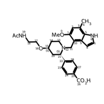 COc1cc(C)c2[nH]ccc2c1CN1CC[C@H](OCCNC(C)=O)C[C@H]1c1ccc(C(=O)O)cc1